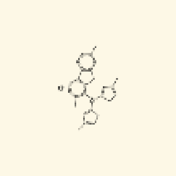 CC1=CC[C]([Zr+]([C]2=CC(C)=CC2)[c]2c(C)ccc3c2Cc2cc(C)ccc2-3)=C1.[Cl-]